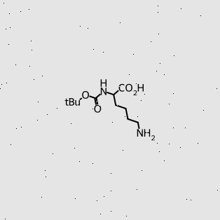 CC(C)(C)OC(=O)NC(CCCCN)C(=O)O